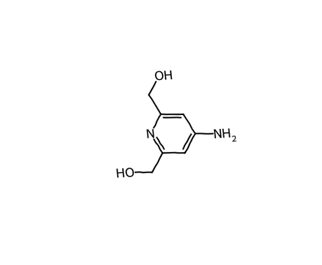 Nc1cc(CO)nc(CO)c1